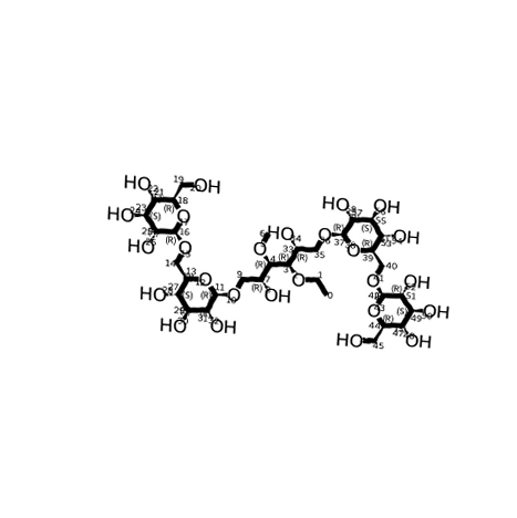 CCO[C@@H]([C@H](OC)[C@H](O)CO[C@@H]1O[C@H](CO[C@@H]2O[C@H](CO)[C@@H](O)[C@H](O)[C@H]2O)[C@@H](O)[C@H](O)[C@H]1O)[C@H](O)CO[C@@H]1O[C@H](CO[C@@H]2O[C@H](CO)[C@@H](O)[C@H](O)[C@H]2O)[C@@H](O)[C@H](O)[C@H]1O